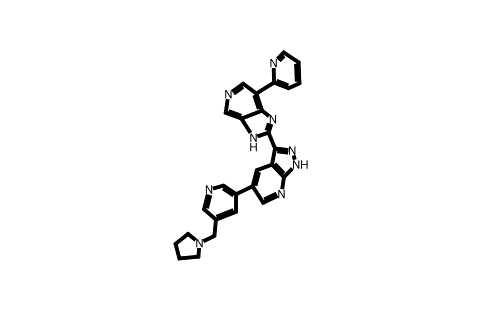 c1ccc(-c2cncc3[nH]c(-c4n[nH]c5ncc(-c6cncc(CN7CCCC7)c6)cc45)nc23)nc1